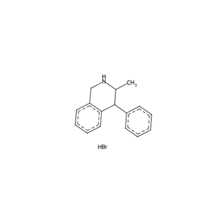 Br.CC1NCc2ccccc2C1c1ccccc1